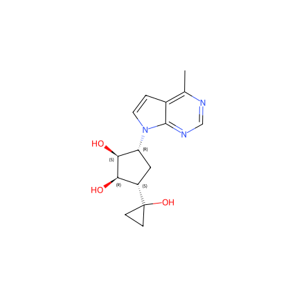 Cc1ncnc2c1ccn2[C@@H]1C[C@H](C2(O)CC2)[C@@H](O)[C@H]1O